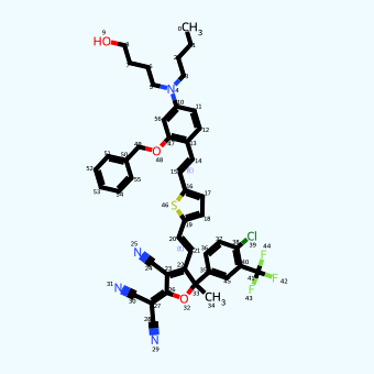 CCCCN(CCCCO)c1ccc(/C=C/c2ccc(/C=C/C3=C(C#N)C(=C(C#N)C#N)OC3(C)c3ccc(Cl)c(C(F)(F)F)c3)s2)c(OCc2ccccc2)c1